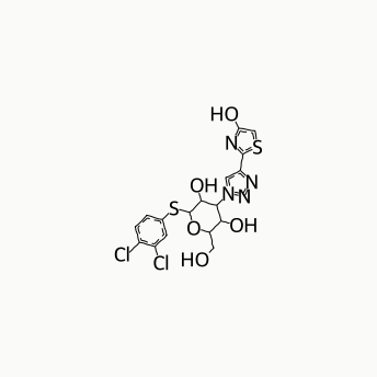 OCC1OC(Sc2ccc(Cl)c(Cl)c2)C(O)C(n2cc(-c3nc(O)cs3)nn2)C1O